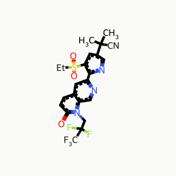 CCS(=O)(=O)c1cc(C(C)(C)C#N)cnc1-c1cc2ccc(=O)n(CC(F)(F)C(F)(F)F)c2cn1